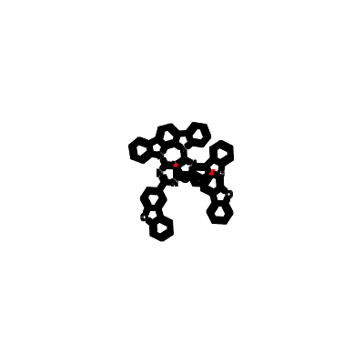 c1cc(-c2ccc3oc4ccccc4c3c2)nc(-n2c3ccccc3c3ccc4c5ccccc5n(-c5nc(-c6ccc7oc8ccccc8c7c6)nc(-c6ccc7oc8ccccc8c7c6)n5)c4c32)c1